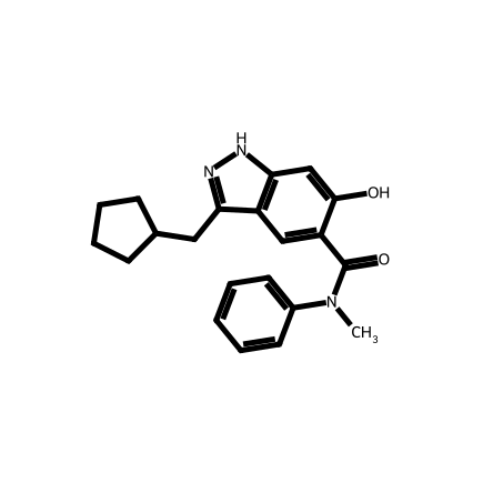 CN(C(=O)c1cc2c(CC3CCCC3)n[nH]c2cc1O)c1ccccc1